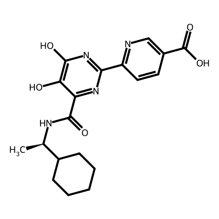 C[C@@H](NC(=O)c1nc(-c2ccc(C(=O)O)cn2)nc(O)c1O)C1CCCCC1